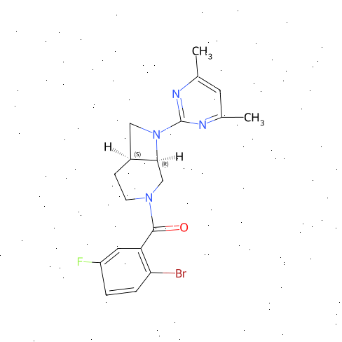 Cc1cc(C)nc(N2C[C@@H]3CCN(C(=O)c4cc(F)ccc4Br)C[C@@H]32)n1